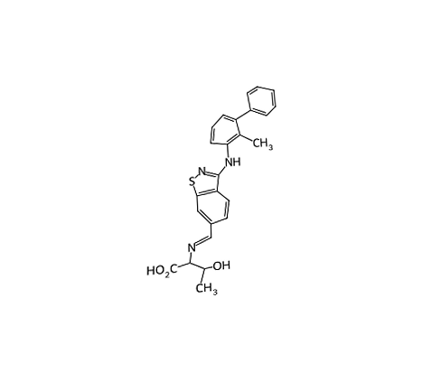 Cc1c(Nc2nsc3cc(C=NC(C(=O)O)C(C)O)ccc23)cccc1-c1ccccc1